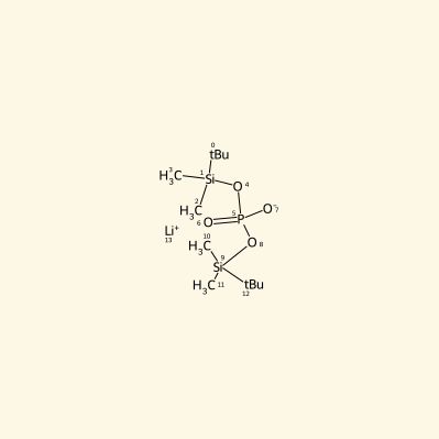 CC(C)(C)[Si](C)(C)OP(=O)([O-])O[Si](C)(C)C(C)(C)C.[Li+]